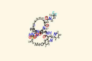 COc1ccc2nc(-c3ccccn3)cc(C(=O)N[C@@H]3C[C@H]4C(=O)N[C@]5(C(=O)NS(=O)(=O)C6CC6)C[C@H]5/C=C\CCCCC[C@H](CC(=O)N5CCC(F)(F)C5)C(=O)N4C3)c2c1